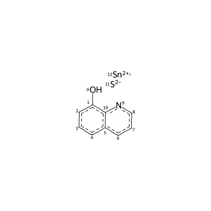 Oc1cccc2cccnc12.[S-2].[Sn+2]